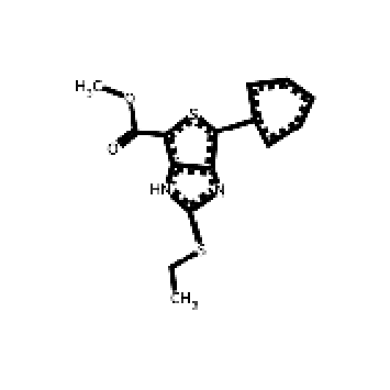 CCSc1nc2c(-c3ccccc3)sc(C(=O)OC)c2[nH]1